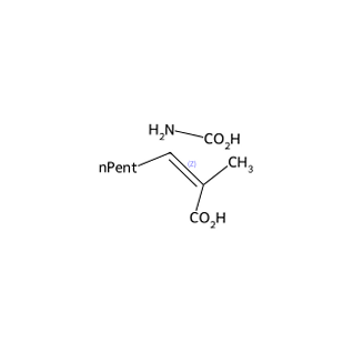 CCCCC/C=C(/C)C(=O)O.NC(=O)O